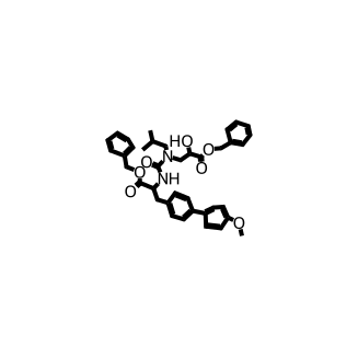 COc1ccc(-c2ccc(CC(NC(=O)N(CC(C)C)CC(O)C(=O)OCc3ccccc3)C(=O)OCc3ccccc3)cc2)cc1